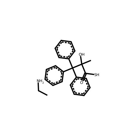 CC(O)(C(=O)S)C(c1ccccc1)(c1ccccc1)c1ccccc1.CCN